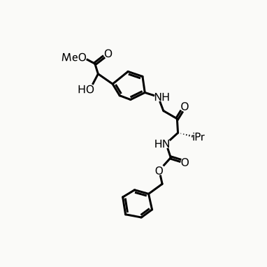 COC(=O)C(O)c1ccc(NCC(=O)[C@@H](NC(=O)OCc2ccccc2)C(C)C)cc1